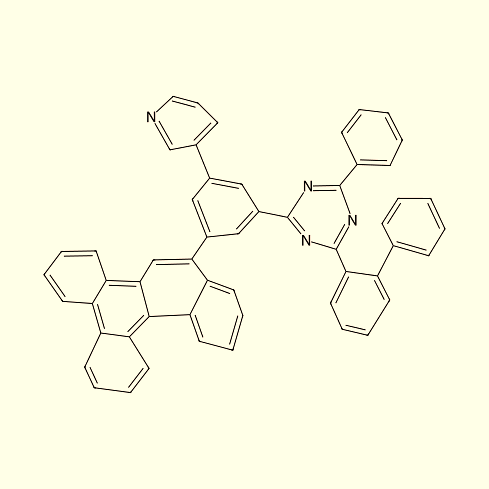 c1ccc(-c2nc(-c3cc(-c4cccnc4)cc(-c4cc5c6ccccc6c6ccccc6c5c5ccccc45)c3)nc(-c3ccccc3-c3ccccc3)n2)cc1